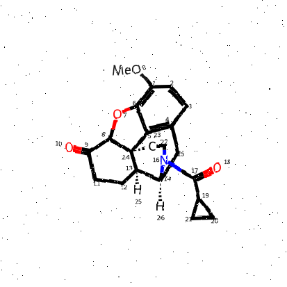 COc1ccc2c3c1OC1C(=O)CC[C@@H]4[C@H](C2)N(C(=O)C2CC2)CC[C@@]314